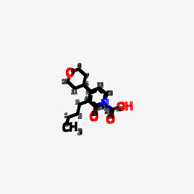 CCCCc1c(C2CCOCC2)ccn(C(=O)O)c1=O